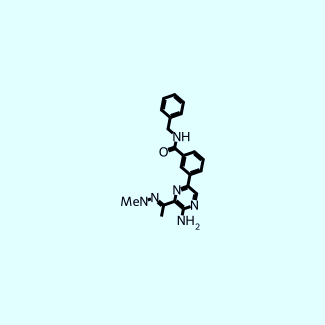 CN/N=C(\C)c1nc(-c2cccc(C(=O)NCc3ccccc3)c2)cnc1N